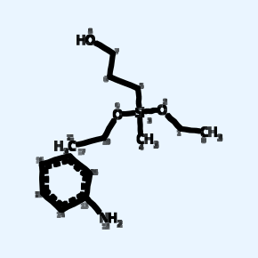 CCO[Si](C)(CCCO)OCC.Nc1ccccc1